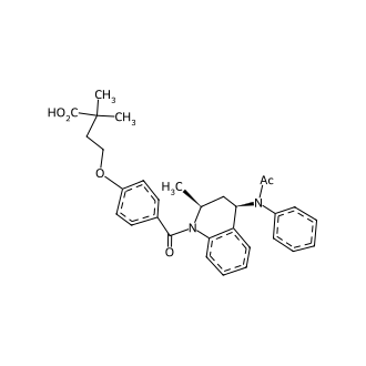 CC(=O)N(c1ccccc1)[C@@H]1C[C@H](C)N(C(=O)c2ccc(OCCC(C)(C)C(=O)O)cc2)c2ccccc21